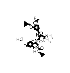 C[C@H](N)c1oc(-c2ccc(OC(F)F)c(OCC3CC3)c2)nc1C(=O)NC(CNC(=O)NC1CC1)c1ccc(F)cc1F.Cl